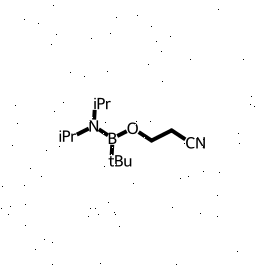 CC(C)N(B(OCCC#N)C(C)(C)C)C(C)C